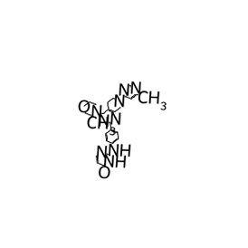 Cc1cc(N2CCc3c(nc(-c4ccc(Nc5nccc(=O)[nH]5)cc4)nc3N3CCOCC3C)C2)ncn1